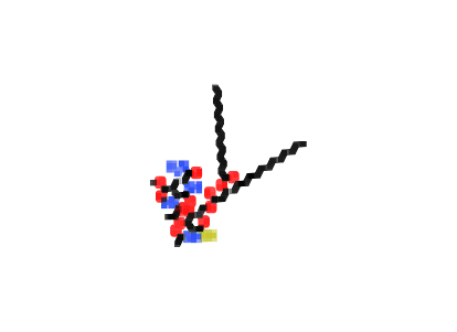 CCCCCCCCCCCCCC(=O)O[C@H](CCCCCCCCCCCCC)CC(=O)OC[C@H]1O[C@@H](S)[C@H](NC(C)=O)[C@H](OC(C)C(=O)N[C@@H](C)C(=O)N[C@H](CCC(=O)OC)C(N)=O)[C@@H]1O